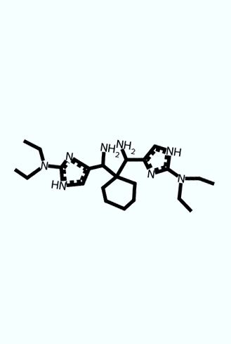 CCN(CC)c1nc(C(N)C2(C(N)c3c[nH]c(N(CC)CC)n3)CCCCC2)c[nH]1